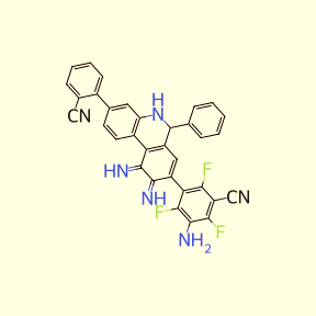 N#Cc1ccccc1-c1ccc2c(c1)NC(c1ccccc1)C1=C2C(=N)C(=N)C(c2c(F)c(N)c(F)c(C#N)c2F)=C1